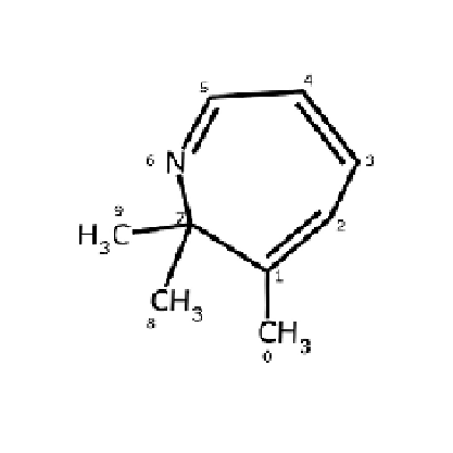 CC1=CC=CC=NC1(C)C